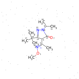 CO/N=C(\C)C1C(=O)N(C(C)C)N=C1C(C)(C)C